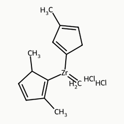 Cl.Cl.[CH2]=[Zr]([C]1=CC(C)=CC1)[C]1=C(C)C=CC1C